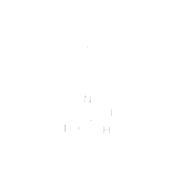 CC(C)(C)C(=O)n1cc2c3c(cccc31)C(=O)CC2